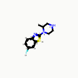 CC1CNCCN1c1nc2ccc(F)cc2s1